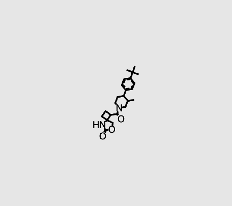 CC1CN(C(=O)C2CCC23COC(=O)N3)CCC1c1ccc(C(C)(C)C)cc1